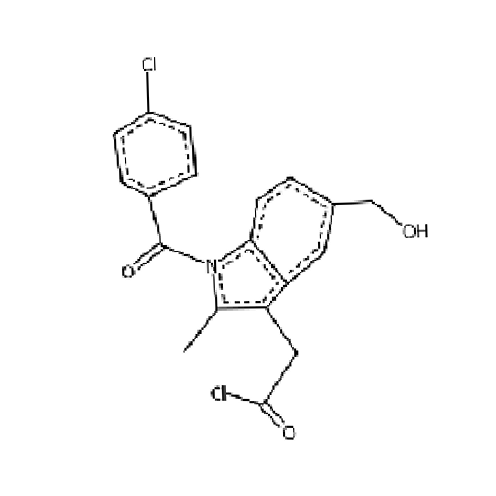 Cc1c(CC(=O)Cl)c2cc(CO)ccc2n1C(=O)c1ccc(Cl)cc1